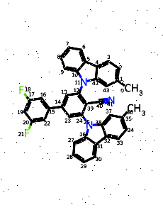 Cc1ccc2c3ccccc3n(-c3cc(-c4cc(F)cc(F)c4)cc(-n4c5ccccc5c5ccc(C)cc54)c3C#N)c2c1